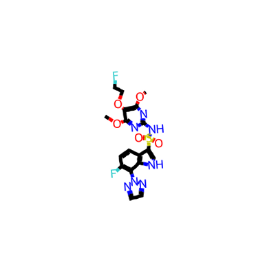 COc1nc(NS(=O)(=O)c2c[nH]c3c(-n4nccn4)c(F)ccc23)nc(OC)c1OCCF